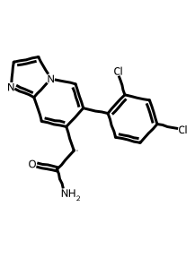 NC(=O)[CH]c1cc2nccn2cc1-c1ccc(Cl)cc1Cl